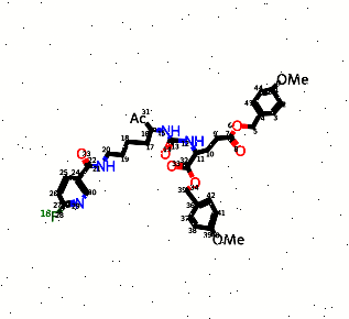 COc1ccc(COC(=O)CCC(NC(=O)NC(CCCCNC(=O)c2ccc([18F])nc2)C(C)=O)C(=O)OCc2ccc(OC)cc2)cc1